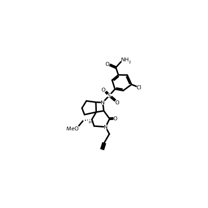 C#CCN1C[C@H](COC)C23CCCC2N(S(=O)(=O)c2cc(Cl)cc(C(N)=O)c2)C3C1=O